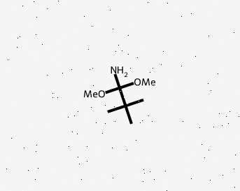 COC(N)(OC)C(C)(C)C